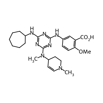 COc1ccc(Nc2nc(NC3CCCCCC3)nc(N(C)C3C=CN(C)CC3)n2)cc1C(=O)O